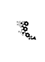 CC(=O)N(c1ccc(S(=O)(=O)CC2CC2)cc1)c1cccc(C(=O)N(c2ccccc2)C(C)(C)C)c1F